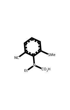 CCN(C(=O)O)c1c(C#N)cccc1SC